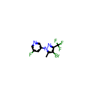 Cc1c(Br)c(C(F)(F)F)nn1-c1cncc(F)c1